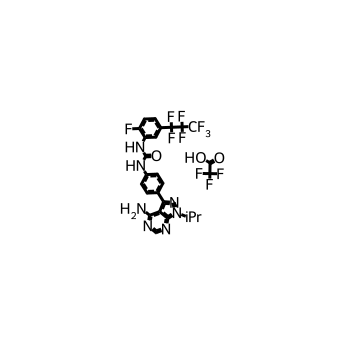 CC(C)n1nc(-c2ccc(NC(=O)Nc3cc(C(F)(F)C(F)(F)C(F)(F)F)ccc3F)cc2)c2c(N)ncnc21.O=C(O)C(F)(F)F